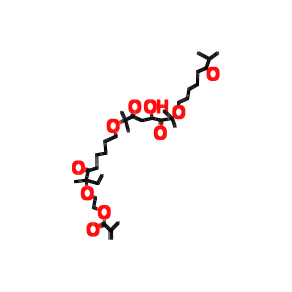 C=C(C)C(=O)OCCOC(C)(CC)C(=O)CCCCCOC(C)(C)C(=O)CC(O)C(=O)C(C)(C)OCCCCCC(=O)C(C)C